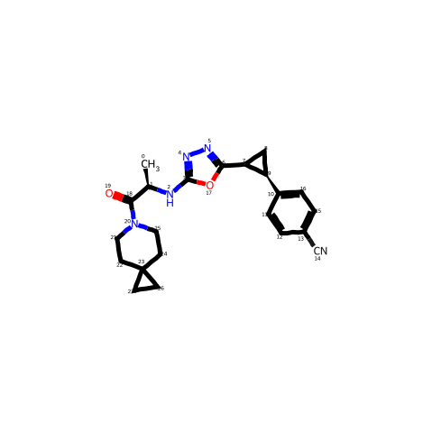 C[C@@H](Nc1nnc(C2C[C@H]2c2ccc(C#N)cc2)o1)C(=O)N1CCC2(CC1)CC2